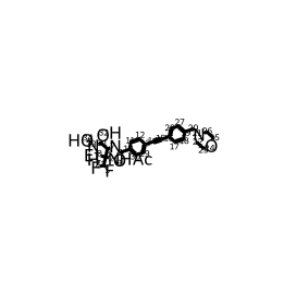 CCC(NC(C)=O)(C(F)F)C(NC(=O)c1ccc(C#Cc2ccc(CN3CCOCC3)cc2)cc1)C(=O)NO